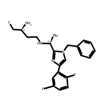 CC(C)(C)[C@H](NCC[C@H](N)CF)c1nc(-c2cc(F)ccc2F)cn1Cc1ccccc1